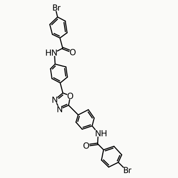 O=C(Nc1ccc(-c2nnc(-c3ccc(NC(=O)c4ccc(Br)cc4)cc3)o2)cc1)c1ccc(Br)cc1